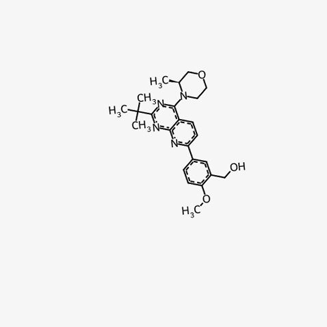 COc1ccc(-c2ccc3c(N4CCOC[C@@H]4C)nc(C(C)(C)C)nc3n2)cc1CO